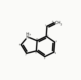 C=Cc1c[c]cc2cc[nH]c12